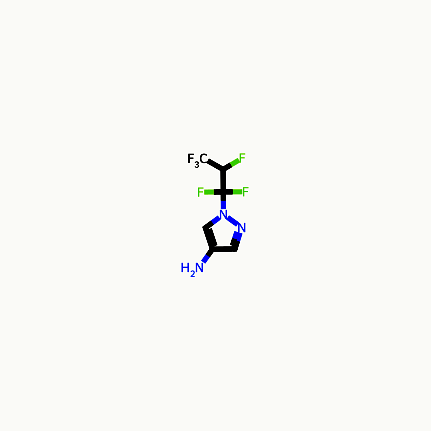 Nc1cnn(C(F)(F)C(F)C(F)(F)F)c1